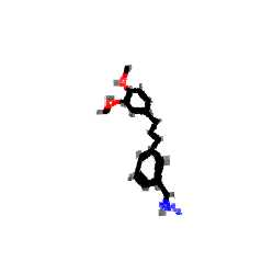 COc1ccc(CCCc2cccc(CN)c2)cc1OC